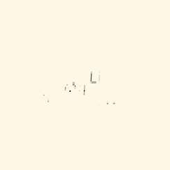 [Co].[Li].[Mg].[Ni]